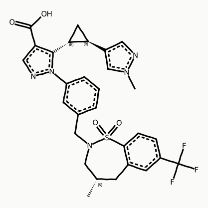 C[C@H]1Cc2cc(C(F)(F)F)ccc2S(=O)(=O)N(Cc2cccc(-n3ncc(C(=O)O)c3[C@@H]3C[C@H]3c3cnn(C)c3)c2)C1